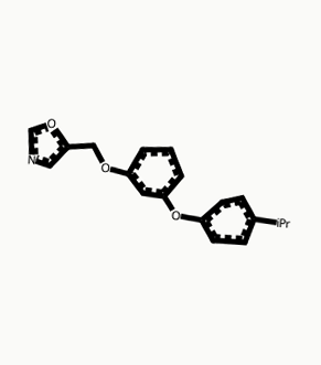 CC(C)c1ccc(Oc2cccc(OCc3cnco3)c2)cc1